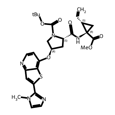 C=C[C@@H]1C[C@]1(NC(=O)[C@@H]1C[C@@H](Oc2ccnc3cc(-c4nccn4C)sc23)CN1C(=O)OC(C)(C)C)C(=O)OC